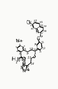 NC(=O)c1ccccc1CCC(SCCc1nnn[nH]1)c1cccc(OCc2ccc3ccc(Cl)cc3n2)c1.[Na]